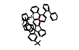 CC(C)(C)c1ccc2c(c1)C1(c3ccccc3-c3ccc(N(c4ccccc4-c4ccccc4-c4ccccc4C4=CCCC=C4)c4cccc5sc6ccccc6c45)cc31)c1cc(C(C)(C)C)ccc1-2